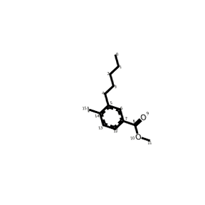 CCCCCc1cc(C(=O)OC)[c]cc1I